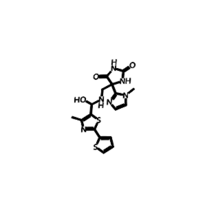 Cc1nc(-c2cccs2)sc1C(O)NCC1(c2nccn2C)NC(=O)NC1=O